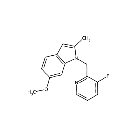 COc1ccc2cc(C)n(Cc3ncccc3F)c2c1